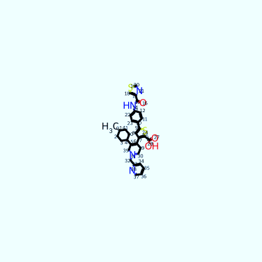 CC1CCC(C2=C(c3cc(-c4ccc(NC(=O)c5cscn5)cc4)sc3C(=O)O)CCN(Cc3ccccn3)C2)CC1